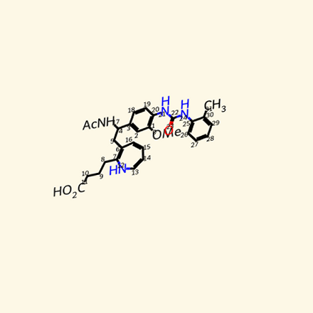 COc1cc(C(CC2=C(CCCC(=O)O)NC=CC=C2)NC(C)=O)ccc1NC(=O)Nc1ccccc1C